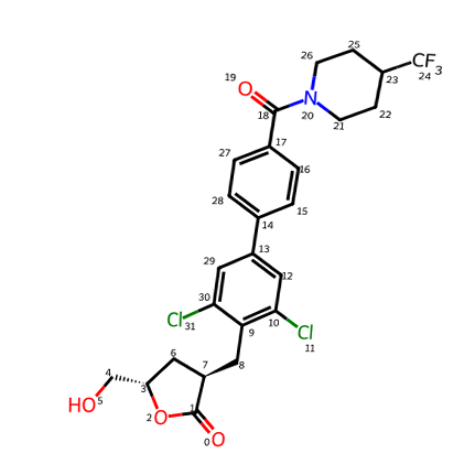 O=C1O[C@H](CO)C[C@H]1Cc1c(Cl)cc(-c2ccc(C(=O)N3CCC(C(F)(F)F)CC3)cc2)cc1Cl